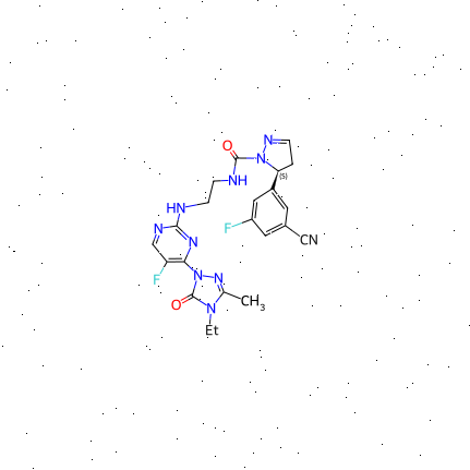 CCn1c(C)nn(-c2nc(NCCNC(=O)N3N=CC[C@H]3c3cc(F)cc(C#N)c3)ncc2F)c1=O